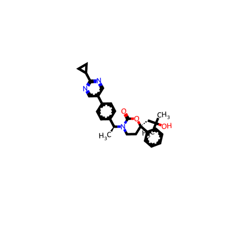 C[C@@H](c1ccc(-c2cnc(C3CC3)nc2)cc1)N1CC[C@](CC(C)(C)O)(c2ccccc2)OC1=O